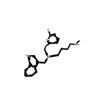 CNCCCCN(Cc1cccc(F)n1)Cc1c[nH]c2ccccc12